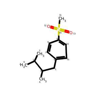 [CH2]C(C)C(C)Cc1ccc(S(C)(=O)=O)cc1